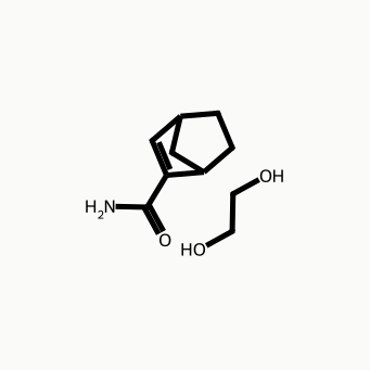 NC(=O)C1=CC2CCC1C2.OCCO